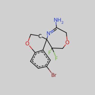 NC1=NC2(CCOc3ccc(Br)cc32)C(F)(F)COC1